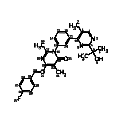 Cc1cnc(C(C)(C)O)nc1-c1cccc(-n2c(C)nc(OCc3ccc(F)cc3)c(C)c2=O)c1